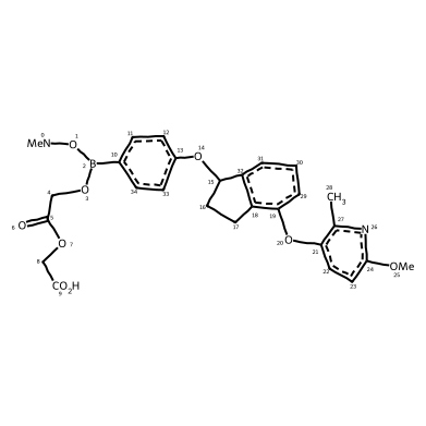 CNOB(OCC(=O)OCC(=O)O)c1ccc(OC2CCc3c(Oc4ccc(OC)nc4C)cccc32)cc1